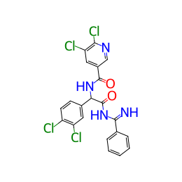 N=C(NC(=O)C(NC(=O)c1cnc(Cl)c(Cl)c1)c1ccc(Cl)c(Cl)c1)c1ccccc1